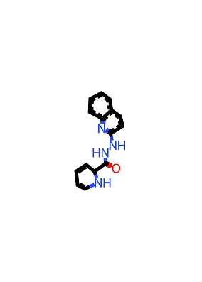 O=C(NNc1ccc2ccccc2n1)C1C=CC=CN1